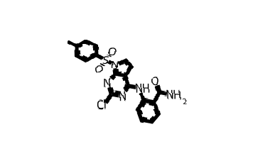 Cc1ccc(S(=O)(=O)n2ccc3c(Nc4ccccc4C(N)=O)nc(Cl)nc32)cc1